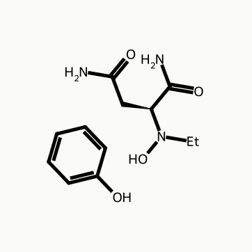 CCN(O)[C@@H](CC(N)=O)C(N)=O.Oc1ccccc1